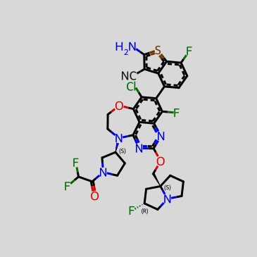 N#Cc1c(N)sc2c(F)ccc(-c3c(Cl)c4c5c(nc(OC[C@@]67CCCN6C[C@H](F)C7)nc5c3F)N([C@H]3CCN(C(=O)C(F)F)C3)CCO4)c12